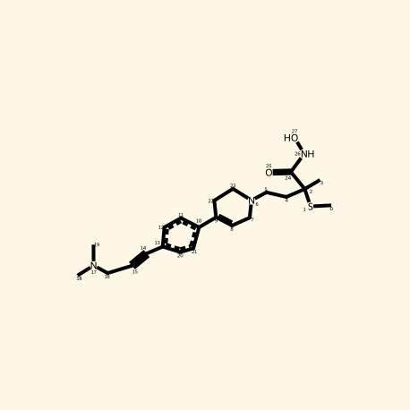 CSC(C)(CCN1CC=C(c2ccc(C#CCN(C)C)cc2)CC1)C(=O)NO